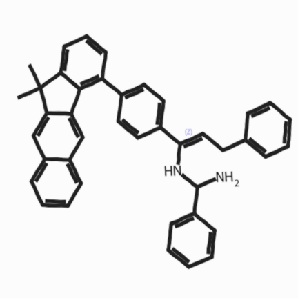 CC1(C)c2cc3ccccc3cc2-c2c(-c3ccc(/C(=C/Cc4ccccc4)NC(N)c4ccccc4)cc3)cccc21